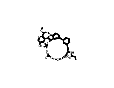 CCC(=O)NC1Cc2cccc(c2)-c2ccc3c(c2)c(c(-c2cc(S)cnc2C(C)OC)n3C)CC(C)(C)COC(=O)CCCCNC1=O